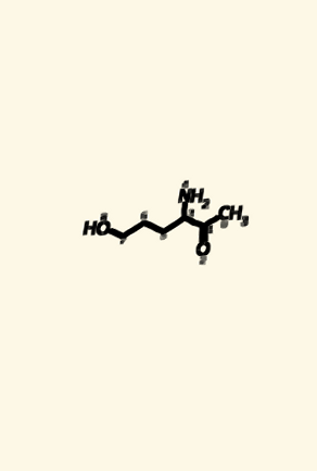 CC(=O)C(N)CCCO